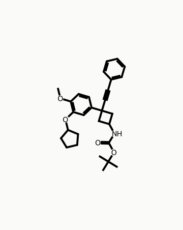 COc1ccc(C2(C#Cc3ccccc3)CC(NC(=O)OC(C)(C)C)C2)cc1OC1CCCC1